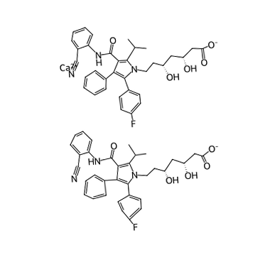 CC(C)c1c(C(=O)Nc2ccccc2C#N)c(-c2ccccc2)c(-c2ccc(F)cc2)n1CC[C@@H](O)C[C@@H](O)CC(=O)[O-].CC(C)c1c(C(=O)Nc2ccccc2C#N)c(-c2ccccc2)c(-c2ccc(F)cc2)n1CC[C@@H](O)C[C@@H](O)CC(=O)[O-].[Ca+2]